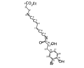 CCOC(=O)CCN=C=C=CC=C=C=NC(=O)[C@H](O)Cc1ccc(O)c(Br)c1